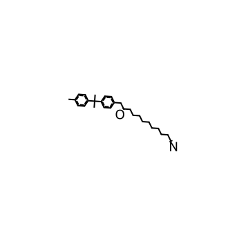 Cc1ccc(C(C)(C)c2ccc(CC(=O)CCCCCCCCCC#N)cc2)cc1